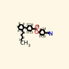 CCCCCc1ccccc1-c1ccc(C(=O)Oc2ccc(C#N)cc2)cc1